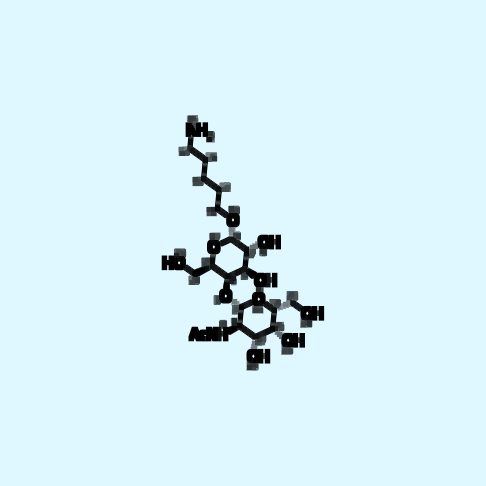 CC(=O)N[C@H]1[C@H](O[C@@H]2[C@H](O)[C@@H](O)[C@@H](OCCCCCN)O[C@@H]2CO)O[C@H](CO)[C@H](O)[C@@H]1O